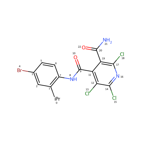 CC(C)c1cc(Br)ccc1NC(=O)c1c(Cl)c(Cl)nc(Cl)c1C(N)=O